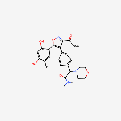 CNC(=O)c1noc(-c2cc(C(C)C)c(O)cc2O)c1-c1ccc(C(C(O)N(C)C)N2CCOCC2)cc1